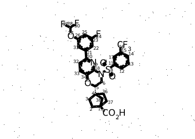 O=C(O)C12CCC([C@H]3CN(S(=O)(=O)c4cccc(C(F)(F)F)c4)c4nc(-c5cc(F)cc(OC(F)F)c5)ccc4O3)(CC1)C2